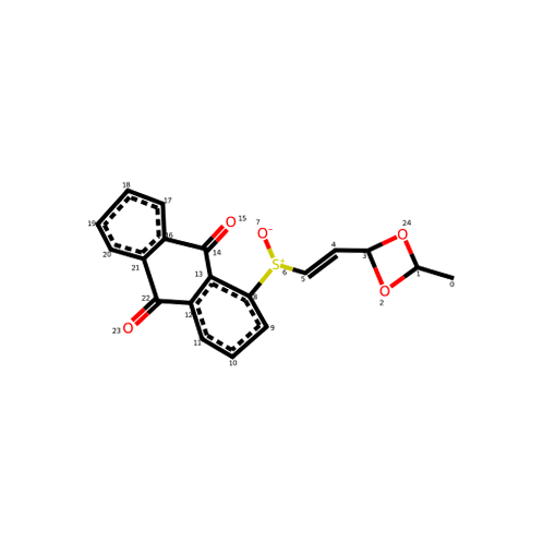 CC1OC(/C=C/[S+]([O-])c2cccc3c2C(=O)c2ccccc2C3=O)O1